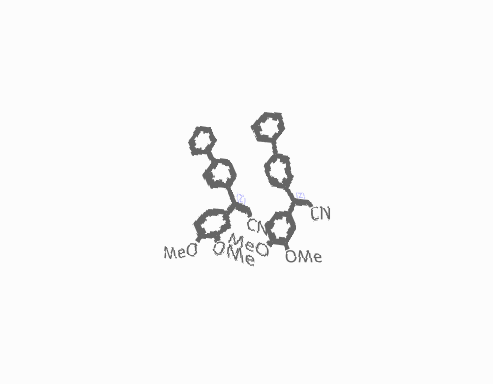 COc1ccc(/C(=C\C#N)c2ccc(-c3ccccc3)cc2)cc1OC.COc1ccc(/C(=C\C#N)c2ccc(-c3ccccc3)cc2)cc1OC